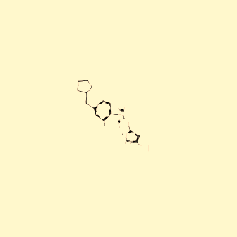 Cc1cc(NS(=O)(=O)c2ccc(CC3CCCC3)cc2F)no1